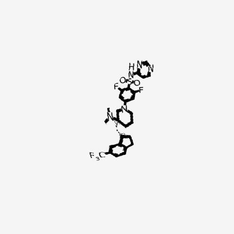 CN(C)[C@]1(C[C@@H]2CCc3ccc(C(F)(F)F)cc32)CCCN(c2cc(F)c(S(=O)(=O)Nc3ccncn3)c(F)c2)C1